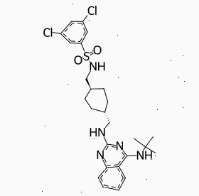 CC(C)(C)Nc1nc(NC[C@H]2CC[C@H](CNS(=O)(=O)c3cc(Cl)cc(Cl)c3)CC2)nc2ccccc12